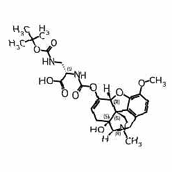 COc1ccc2c3c1O[C@H]1C(OC(=O)N[C@@H](CNC(=O)OC(C)(C)C)C(=O)O)=CC[C@@]4(O)[C@@H](C2)N(C)CC[C@]314